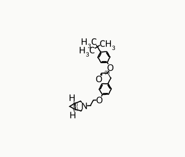 CC(C)(C)c1ccc(O[C@H](C=O)Cc2ccc(OCCN3C[C@H]4C[C@H]4C3)cc2)cc1